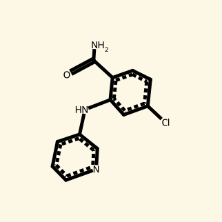 NC(=O)c1ccc(Cl)cc1Nc1cccnc1